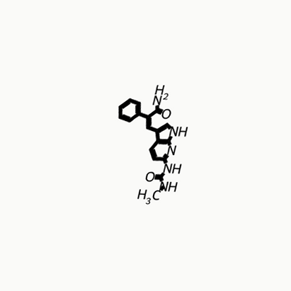 CNC(=O)Nc1ccc2c(C=C(C(N)=O)c3ccccc3)c[nH]c2n1